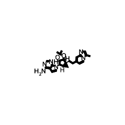 Cc1cnc2cc(CC[C@@]34C[C@@H]3[C@@H](n3ccc5c(N)ncnc53)[C@@H]3OC(C)(C)O[C@@H]34)ccn12